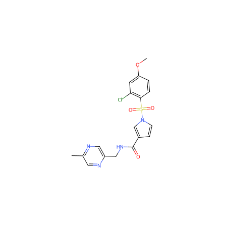 COc1ccc(S(=O)(=O)n2ccc(C(=O)NCc3cnc(C)cn3)c2)c(Cl)c1